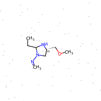 C=NN1C[C@@H](COC)NC1CC